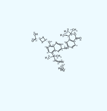 C[C@@H]1c2nc(Nc3cc4c(C(C)(C)N=[N+]=[N-])cnc(O[C@H]5C[C@@H](C(=O)O)C5)c4cn3)ccc2C(=O)OC1(C)C.O.[Li+].[OH-]